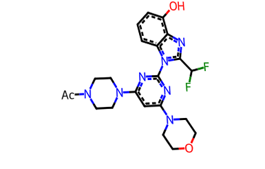 CC(=O)N1CCN(c2cc(N3CCOCC3)nc(-n3c(C(F)F)nc4c(O)cccc43)n2)CC1